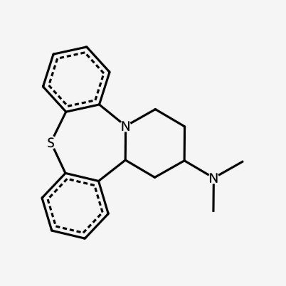 CN(C)C1CCN2c3ccccc3Sc3ccccc3C2C1